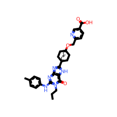 CCCn1c(Nc2ccc(C)cc2)nc2nc(C34CCC(OCc5ccc(C(=O)O)cn5)(CC3)CC4)[nH]c2c1=O